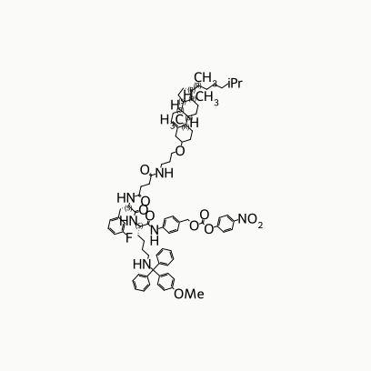 COc1ccc(C(NCCCC[C@H](NC(=O)[C@H](Cc2cccc(F)c2)NC(=O)CCC(=O)NCCCOC2CC[C@@]3(C)C(=CC[C@H]4[C@@H]5CC[C@H]([C@H](C)CCCC(C)C)[C@@]5(C)CC[C@@H]43)C2)C(=O)Nc2ccc(COC(=O)Oc3ccc([N+](=O)[O-])cc3)cc2)(c2ccccc2)c2ccccc2)cc1